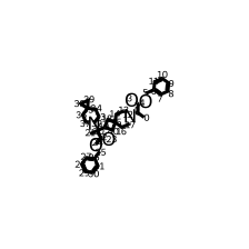 CC(C(=O)OCc1ccccc1)N1CCC2(CC1)CC(C(C)(C(=O)OCc1ccccc1)N1CCC3(CC1)CC3)C2